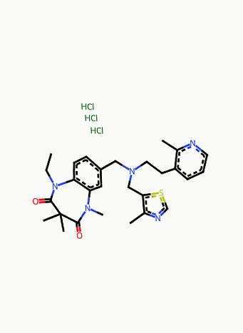 CCN1C(=O)C(C)(C)C(=O)N(C)c2cc(CN(CCc3cccnc3C)Cc3scnc3C)ccc21.Cl.Cl.Cl